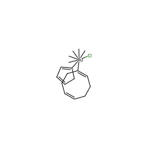 [CH3][Ru]([CH3])([CH3])([CH3])([CH3])([Cl])([C]1=CC=CC1)[C]1=CCCC=CCC1